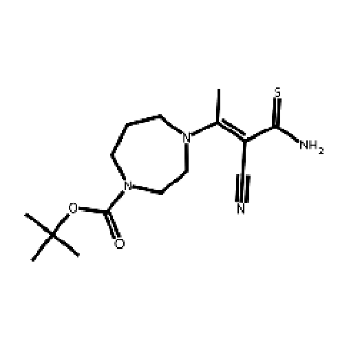 C/C(=C(/C#N)C(N)=S)N1CCCN(C(=O)OC(C)(C)C)CC1